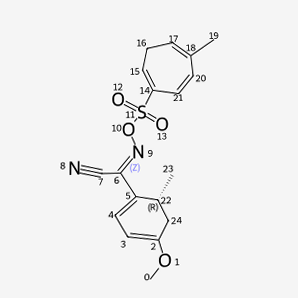 COC1=CC=C(/C(C#N)=N/OS(=O)(=O)C2=CCC=C(C)C=C2)[C@H](C)C1